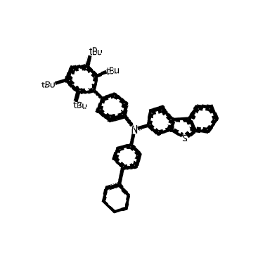 CC(C)(C)c1cc(C(C)(C)C)c(C(C)(C)C)c(-c2ccc(N(c3ccc(C4CCCCC4)cc3)c3ccc4c(c3)sc3ccccc34)cc2)c1C(C)(C)C